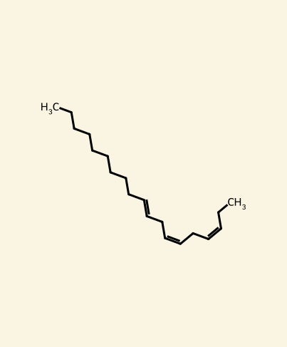 CC/C=C\C/C=C\CC=CCCCCCCCCC